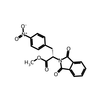 COC(=O)[C@H](Cc1ccc([N+](=O)[O-])cc1)N1C(=O)c2ccccc2C1=O